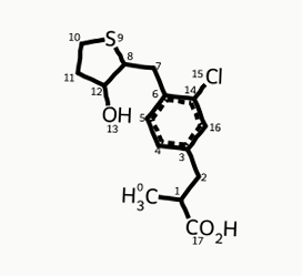 CC(Cc1ccc(CC2SCCC2O)c(Cl)c1)C(=O)O